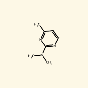 Cc1c[c]nc(N(C)C)n1